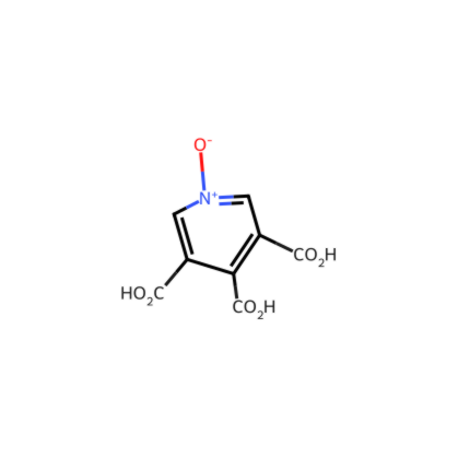 O=C(O)c1c[n+]([O-])cc(C(=O)O)c1C(=O)O